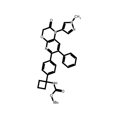 Cn1cc(N2C(=O)COc3nc(-c4ccc(C5(NC(=O)OC(C)(C)C)CCC5)cc4)c(-c4ccccc4)cc32)cn1